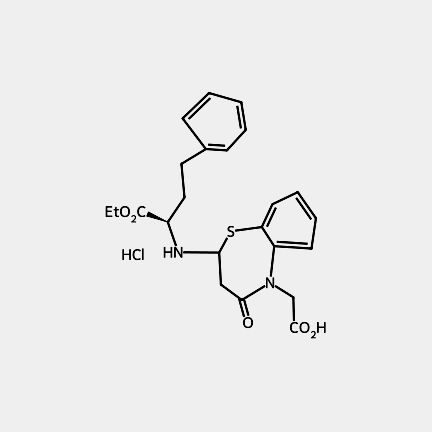 CCOC(=O)[C@@H](CCc1ccccc1)NC1CC(=O)N(CC(=O)O)c2ccccc2S1.Cl